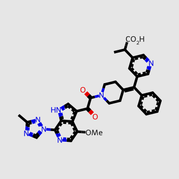 COc1cnc(-n2cnc(C)n2)c2[nH]cc(C(=O)C(=O)N3CCC(=C(c4ccccc4)c4cncc(C(C)C(=O)O)c4)CC3)c12